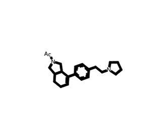 CC(=O)N1CC2CCC=C(c3ccc(CCN4CCCC4)cc3)C2C1